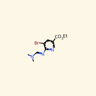 CCOC(=O)c1cnc(/N=C/N(C)C)c(Br)c1